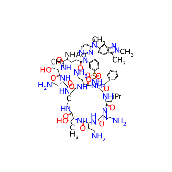 CC(=O)N[C@@H](CCC(=O)N(c1cccc(S(N)(=O)=O)c1)c1nccc(N(C)c2ccc3c(C)n(C)nc3c2)n1)C(=O)N[C@H](C(=O)N[C@@H](CCN)C(=O)N[C@H]1CCNC(=O)[C@H]([C@@H](C)O)NC(=O)[C@H](CCN)NC(=O)[C@H](CCN)NC(=O)[C@H](CC(C)C)NC(=O)[C@@H](CCc2ccccc2)NC(=O)[C@H](CCN)NC1=O)[C@@H](C)O